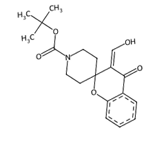 CC(C)(C)OC(=O)N1CCC2(CC1)Oc1ccccc1C(=O)C2=CO